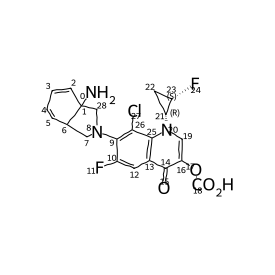 NC12C=CC=CC1CN(c1c(F)cc3c(=O)c(OC(=O)O)cn([C@@H]4C[C@@H]4F)c3c1Cl)C2